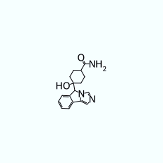 NC(=O)C1CCC(O)(C2c3ccccc3-c3cncn32)CC1